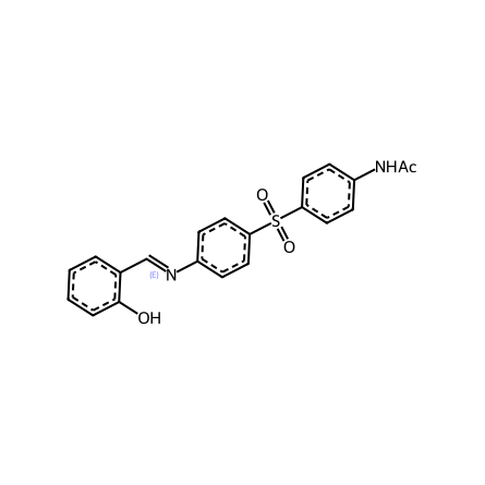 CC(=O)Nc1ccc(S(=O)(=O)c2ccc(/N=C/c3ccccc3O)cc2)cc1